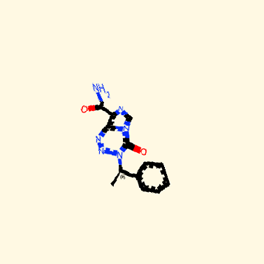 C[C@H](c1ccccc1)n1nnc2c(C(N)=O)ncn2c1=O